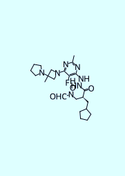 Cc1nc(NNC(=O)[C@@H](CC2CCCC2)CN(O)C=O)c(F)c(N2CC(C)(N3CCCC3)C2)n1